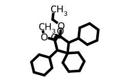 CCOC(=O)C(C1CCCCC1)C1(C(C(=O)OC)C2CCCCC2)CCCCC1